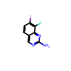 Nc1ncc2ccc(I)c(F)c2n1